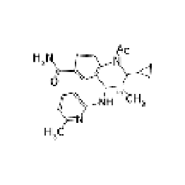 CC(=O)N1c2ccc(C(N)=O)cc2C(Nc2cccc(C)n2)[C@@H](C)C1C1CC1